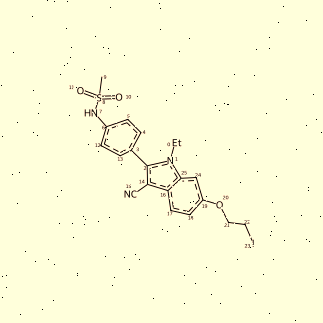 CCn1c(-c2ccc(NS(C)(=O)=O)cc2)c(C#N)c2ccc(OCCI)cc21